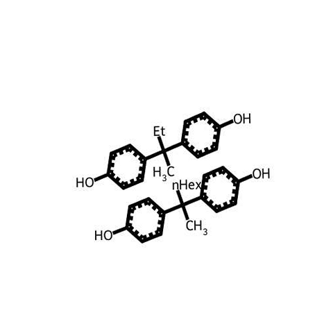 CCC(C)(c1ccc(O)cc1)c1ccc(O)cc1.CCCCCCC(C)(c1ccc(O)cc1)c1ccc(O)cc1